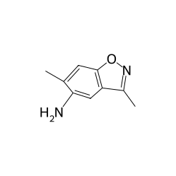 Cc1cc2onc(C)c2cc1N